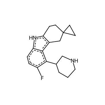 Fc1ccc2[nH]c3c(c2c1C1CCCNC1)CC1(CC3)CC1